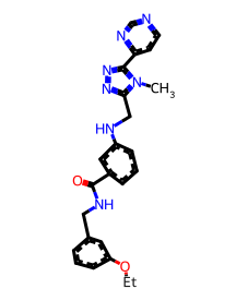 CCOc1cccc(CNC(=O)c2cccc(NCc3nnc(-c4ccncn4)n3C)c2)c1